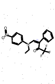 CCN(/C=C(\C(=O)C(F)(F)F)c1ccccc1)c1ccc([N+](=O)[O-])cc1